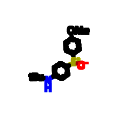 COc1ccc([S+]([O-])c2ccc(NC(C)(C)C)cc2)cc1